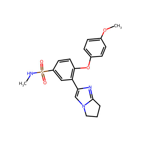 CNS(=O)(=O)c1ccc(Oc2ccc(OC)cc2)c(-c2cn3c(n2)CCC3)c1